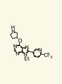 CCn1c(-c2ccc(C(F)(F)F)nc2)nc2c(OC3CCNC3)ncnc21